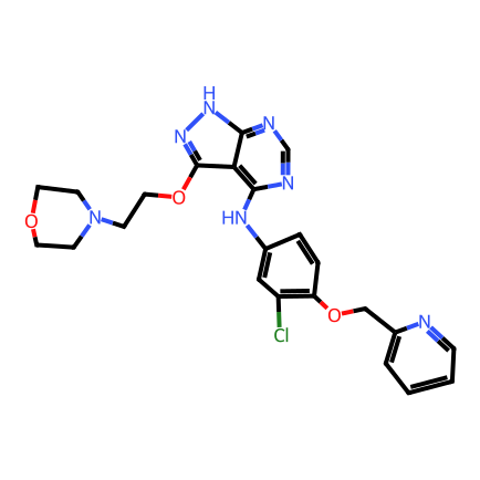 Clc1cc(Nc2ncnc3[nH]nc(OCCN4CCOCC4)c23)ccc1OCc1ccccn1